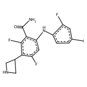 NC(=O)c1c(Nc2ccc(I)cc2F)cc(F)c(C2CNC2)c1F